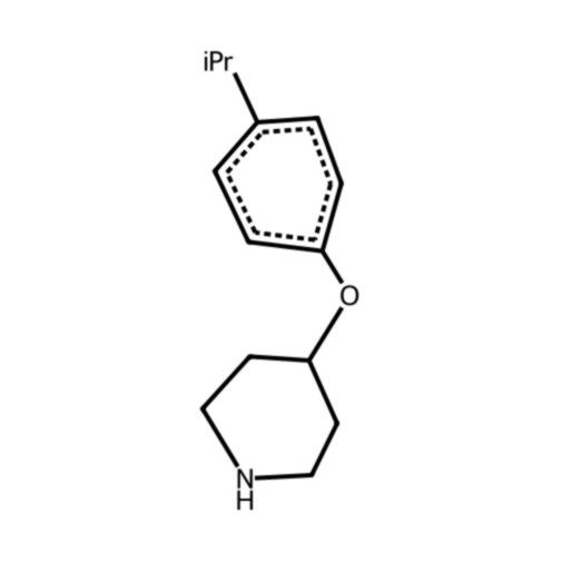 CC(C)c1ccc(OC2CCNCC2)cc1